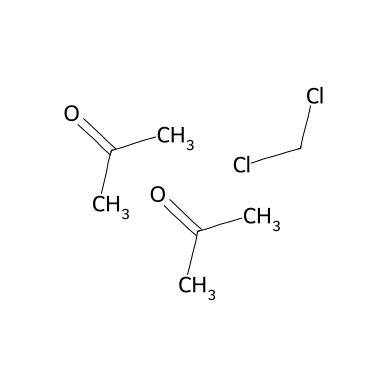 CC(C)=O.CC(C)=O.ClCCl